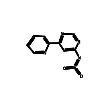 O=S(=O)=Nc1cc(-c2ccccn2)ncn1